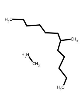 CCCCCCC(C)CCCCC.CN